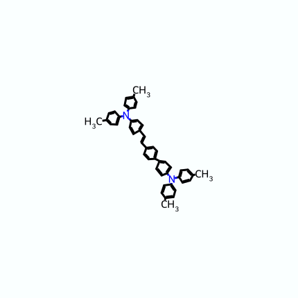 Cc1ccc(N(c2ccc(C)cc2)c2ccc(/C=C/c3ccc(-c4ccc(N(c5ccc(C)cc5)c5ccc(C)cc5)cc4)cc3)cc2)cc1